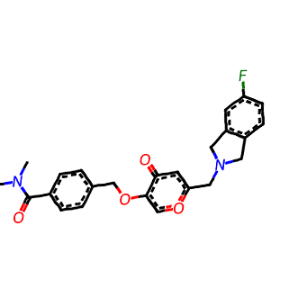 CN(C)C(=O)c1ccc(COc2coc(CN3Cc4ccc(F)cc4C3)cc2=O)cc1